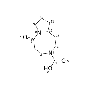 O=C(O)N1CCC(=O)N2CCCC2CC1